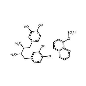 C[C@H](Cc1ccc(O)c(O)c1)[C@@H](C)Cc1ccc(O)c(O)c1.O=S(=O)(O)Oc1cccc2cccnc12